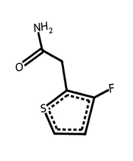 NC(=O)Cc1sccc1F